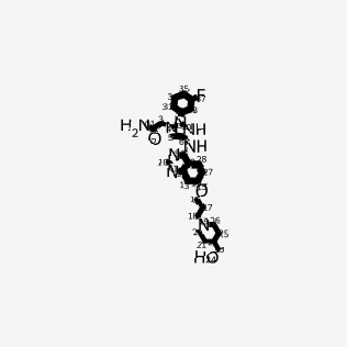 NC(=O)CN1C=C(Nc2ncnc3cc(OCCCN4CCC(CO)CC4)ccc23)NN1c1cccc(F)c1